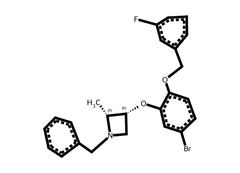 C[C@@H]1[C@H](Oc2cc(Br)ccc2OCc2cccc(F)c2)CN1Cc1ccccc1